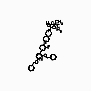 CC(C)(C)OC(=O)N1CCC2(CC1)CCN(c1ccc(-c3ccc(OCc4ccccc4)nc3OCc3ccccc3)cc1F)CC2